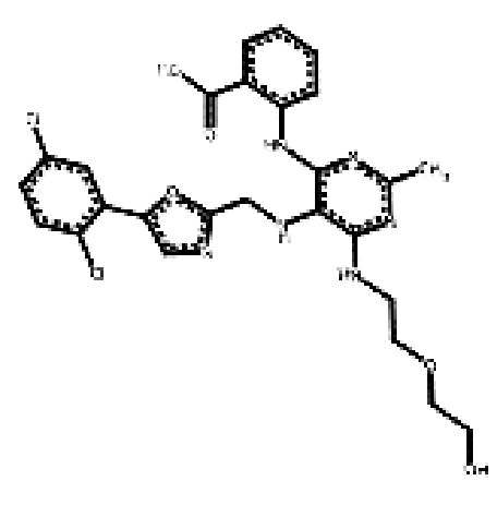 Cc1nc(NCCOCCO)c(NCc2ncc(-c3cc(Cl)ccc3Cl)o2)c(Nc2ccccc2C(=O)O)n1